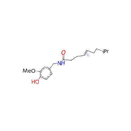 COc1cc(CNC(=O)CC/C=C/CCC(C)C)ccc1O